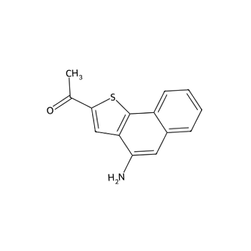 CC(=O)c1cc2c(N)cc3ccccc3c2s1